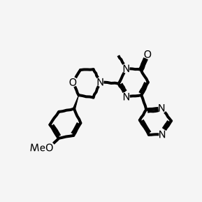 COC1=CCC([C@@H]2CN(c3nc(-c4ccncn4)cc(=O)n3C)CCO2)C=C1